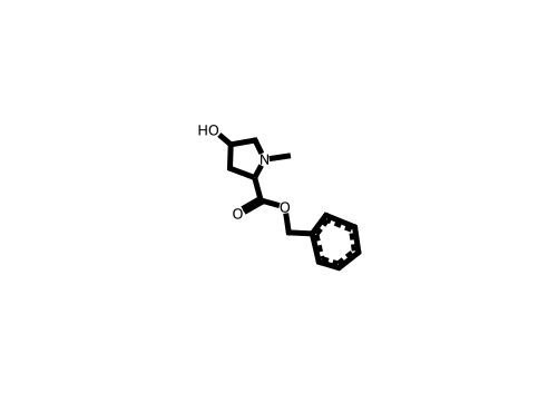 CN1CC(O)CC1C(=O)OCc1ccccc1